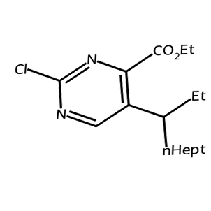 CCCCCCCC(CC)c1cnc(Cl)nc1C(=O)OCC